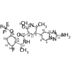 COc1nc(C)c(-c2ccn3nc(N)nc3c2)cc1C(=O)NC(C)c1cc(OC(F)(F)F)ccc1F